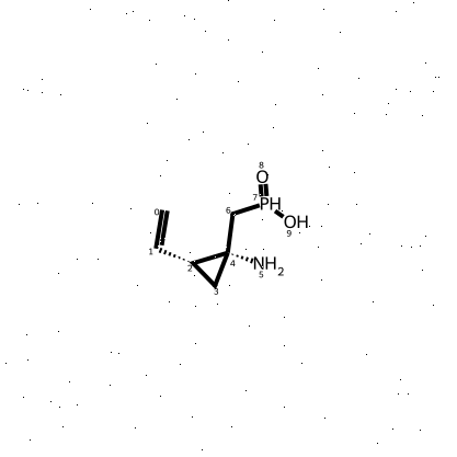 C=C[C@H]1C[C@]1(N)C[PH](=O)O